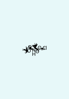 CC(C)(C)OC(=O)NC1(C(=O)OCCl)CC1